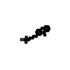 O=c1c2ccccc2sc2ccc(OCCCCS(=O)(=O)O)cc12